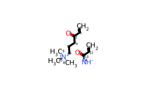 C=CC(=O)CCC[N+](C)(C)C.C=CC([NH-])=O